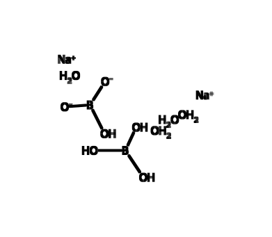 O.O.O.O.OB(O)O.[Na+].[Na+].[O-]B([O-])O